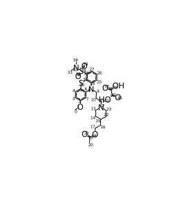 COc1ccc2c(c1)N(CCCN1CCC(CCOC(C)=O)CC1)c1cccc(S(=O)(=O)N(C)C)c1S2.O=C(O)C(=O)O